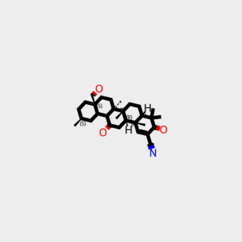 C[C@H]1CC[C@]2(C=O)CC[C@]3(C)C(C(=O)C[C@@H]4[C@@]5(C)C=C(C#N)C(=O)C(C)(C)[C@@H]5CC[C@]43C)C2C1